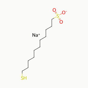 O=S(=O)([O-])CCCCCCCCCCCS.[Na+]